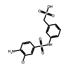 Nc1ccc(S(=O)(=O)Nc2cccc(CS(=O)(=O)O)c2)cc1Cl